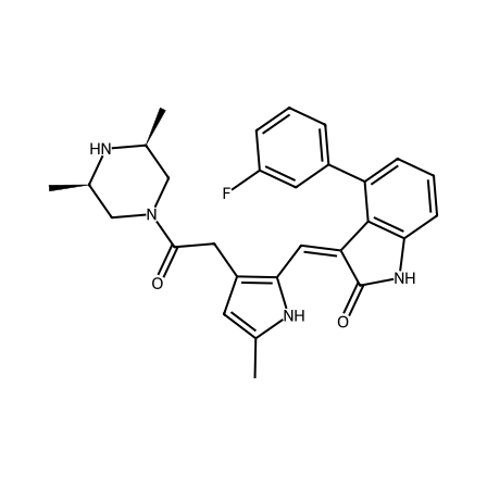 Cc1cc(CC(=O)N2C[C@@H](C)N[C@@H](C)C2)c(/C=C2\C(=O)Nc3cccc(-c4cccc(F)c4)c32)[nH]1